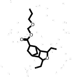 CCCOCOC(=O)C1CC2CC1C1C(CC)OC(CC)C21